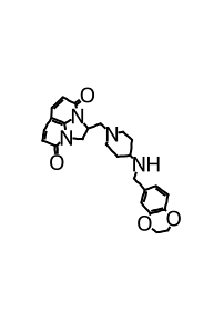 O=c1ccc2ccc(=O)n3c2n1CC3CN1CCC(NCc2ccc3c(c2)OCCO3)CC1